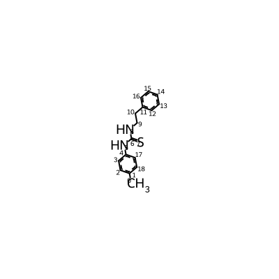 Cc1ccc(NC(=S)NCCc2ccccc2)cc1